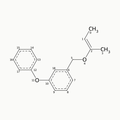 CC=C(C)OCc1cccc(Oc2ccccc2)c1